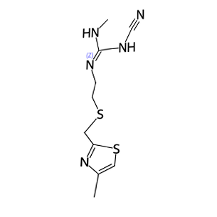 CN/C(=N/CCSCc1nc(C)cs1)NC#N